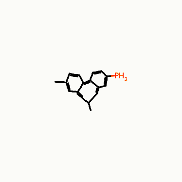 Cc1ccc2c(c1)=CC(C)C=c1cc(P)ccc1=2